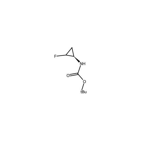 CC(C)(C)OC(=O)N[C@@H]1CC1F